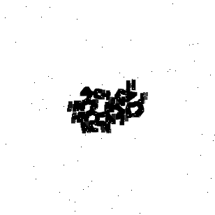 CC1(C(=N)SC(=N)c2c(C#N)nn3ccc(N4CC[C@H]5C[C@]54c4cc(F)ccc4F)nc23)CC1